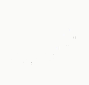 COc1cc(/C=C/C(O)=C/C(=O)/C=C/c2ccc(OC(=O)c3cc(-c4ccc(F)cc4F)ccc3OC(C)=O)c(OC)c2)ccc1C